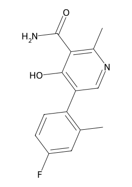 Cc1cc(F)ccc1-c1cnc(C)c(C(N)=O)c1O